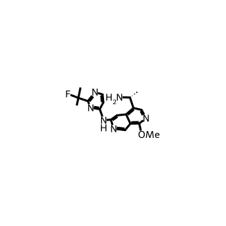 COc1ncc([C@@H](C)N)c2cc(Nc3ccnc(C(C)(C)F)n3)ncc12